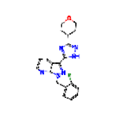 Fc1ccccc1Cn1nc(-c2nc(C3CCOCC3)n[nH]2)c2cccnc21